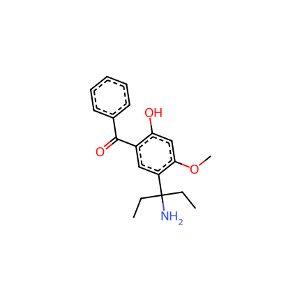 CCC(N)(CC)c1cc(C(=O)c2ccccc2)c(O)cc1OC